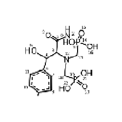 NC(=O)C(C(O)c1ccccc1)N(CP(=O)(O)O)CP(=O)(O)O